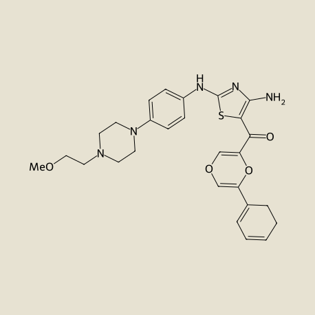 COCCN1CCN(c2ccc(Nc3nc(N)c(C(=O)C4=COC=C(C5=CC=CCC5)O4)s3)cc2)CC1